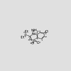 CCC(CC)C1=NS(=O)(=O)c2ccc(Cl)cc2N1N